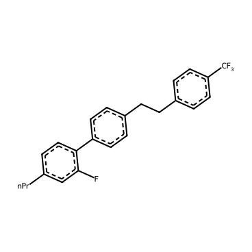 CCCc1ccc(-c2ccc(CCc3ccc(C(F)(F)F)cc3)cc2)c(F)c1